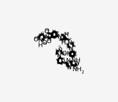 CN1CCN([C@@H]2CCCN(c3cnc(C(N)=O)c(Nc4ccc(N5CCN(C[C@@H]6[C@H]7CN(c8ccc9c(c8)C(=O)N(C8CCC(=O)NC8=O)C9=O)C[C@@H]67)CC5)cc4)n3)C2)C1O